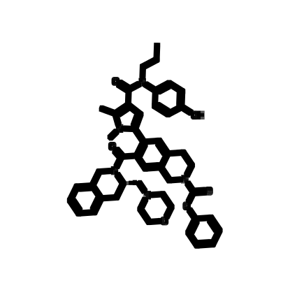 CCCN(C(=O)c1cc(-c2cc3c(cc2C(=O)N2Cc4ccccc4C[C@H]2CN2CCOCC2)CN(C(=O)Oc2ccccc2)CC3)n(C)c1C)c1ccc(O)cc1